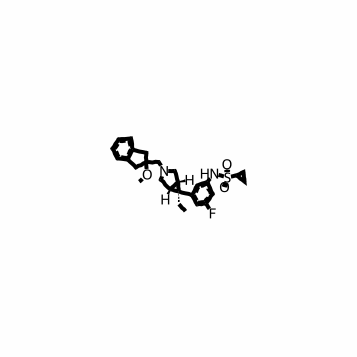 CC[C@]1(c2cc(F)cc(NS(=O)(=O)C3CC3)c2)[C@@H]2CN(CC3(OC)Cc4ccccc4C3)C[C@@H]21